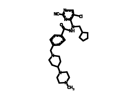 CN1CCN(C2CCN(Cc3ccc(C(=O)NN(CC4CCCC4)c4nc(C#N)ncc4Cl)cc3)CC2)CC1